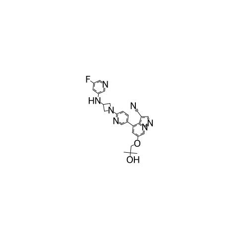 CC(C)(O)COc1cc(-c2ccc(N3CC(Nc4cncc(F)c4)C3)nc2)c2c(C#N)cnn2c1